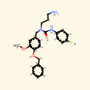 COc1cc(CN(CCCN)C(=O)Nc2ccc(F)cc2)ccc1OCc1ccccc1